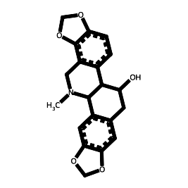 CN1Cc2c(ccc3c2OCO3)C2C(O)Cc3cc4c(cc3C21)OCO4